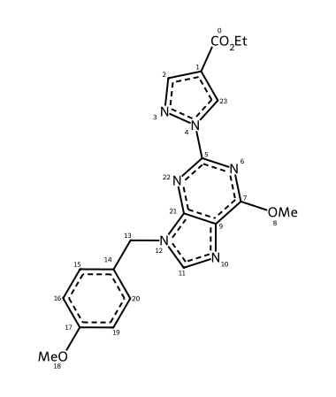 CCOC(=O)c1cnn(-c2nc(OC)c3ncn(Cc4ccc(OC)cc4)c3n2)c1